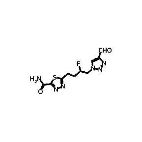 NC(=O)c1nnc(CCC(F)Cn2cc(C=O)nn2)s1